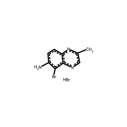 Br.Cc1cnc2c(Br)c(N)ccc2n1